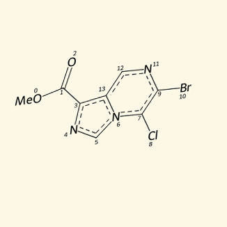 COC(=O)c1ncn2c(Cl)c(Br)ncc12